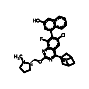 CN1CCC[C@H]1COc1nc(N2CC3CC(C2)N3)c2cc(Cl)c(-c3cc(O)cc4ccccc34)c(F)c2n1